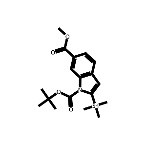 COC(=O)c1ccc2c[c]([Sn]([CH3])([CH3])[CH3])n(C(=O)OC(C)(C)C)c2c1